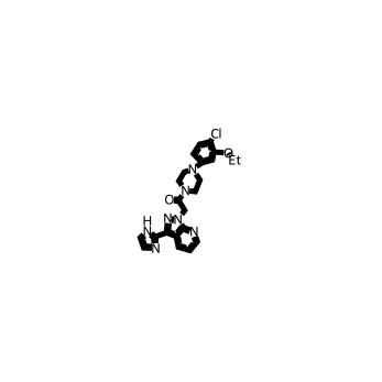 CCOc1cc(N2CCN(C(=O)Cn3nc(-c4ncc[nH]4)c4cccnc43)CC2)ccc1Cl